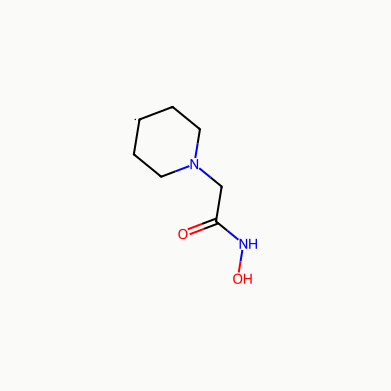 O=C(CN1CC[CH]CC1)NO